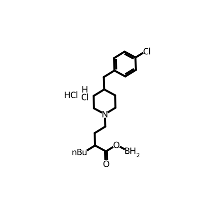 BOC(=O)C(CCCC)CCN1CCC(Cc2ccc(Cl)cc2)CC1.Cl.Cl